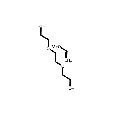 C=COC.OCCOCCOCCO